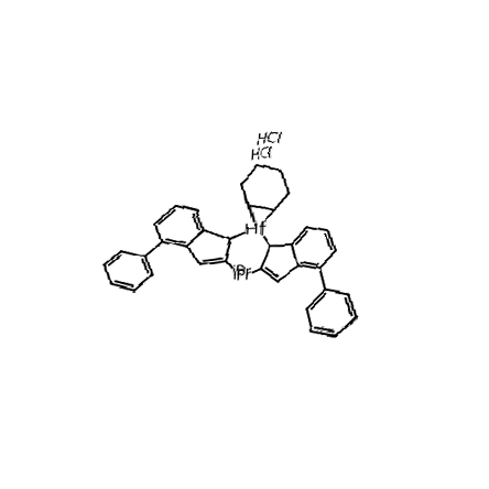 CC(C)C1=Cc2c(-c3ccccc3)cccc2[CH]1[Hf]1([CH]2C(C(C)C)=Cc3c(-c4ccccc4)cccc32)[CH]2CCCC[CH]21.Cl.Cl